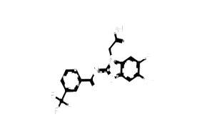 Cc1cc2s/c(=N\C(=O)c3cccc(C(F)(F)F)c3)n(CC(=O)O)c2cc1F